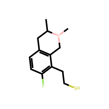 CB1Cc2c(ccc(F)c2CCS)CC1C